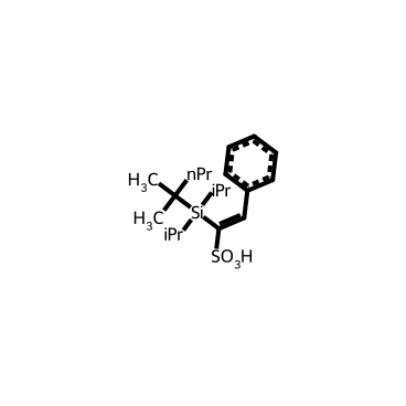 CCCC(C)(C)[Si](C(=Cc1ccccc1)S(=O)(=O)O)(C(C)C)C(C)C